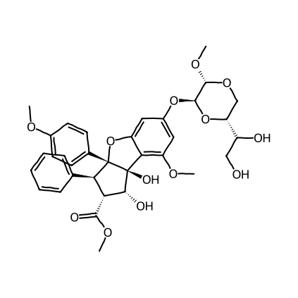 COC(=O)[C@H]1[C@@H](O)[C@@]2(O)c3c(OC)cc(O[C@@H]4O[C@@H](C(O)CO)CO[C@H]4OC)cc3O[C@@]2(c2ccc(OC)cc2)[C@@H]1c1ccccc1